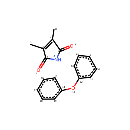 CC1=C(C)C(=O)NC1=O.c1ccc(Oc2ccccc2)cc1